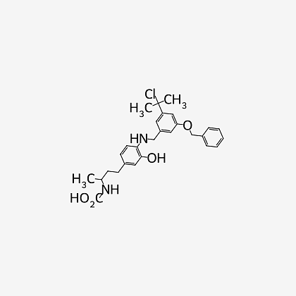 CC(CCc1ccc(NCc2cc(OCc3ccccc3)cc(C(C)(C)Cl)c2)c(O)c1)NC(=O)O